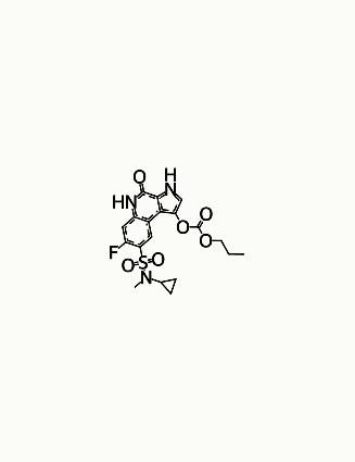 CCCOC(=O)Oc1c[nH]c2c(=O)[nH]c3cc(F)c(S(=O)(=O)N(C)C4CC4)cc3c12